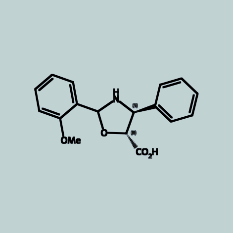 COc1ccccc1C1N[C@@H](c2ccccc2)[C@H](C(=O)O)O1